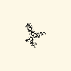 COc1ccc(C(C)(c2ccc(-c3ccc(C(F)(F)F)cc3)cc2)c2cc[n+](OC=O)cc2)cc1OC1CCCC1